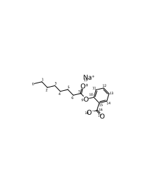 CCCCCCCC(=O)Oc1ccccc1C(=O)[O-].[Na+]